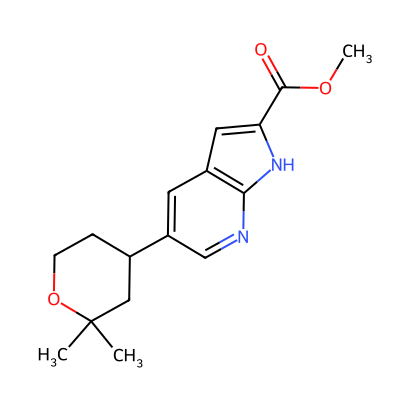 COC(=O)c1cc2cc(C3CCOC(C)(C)C3)cnc2[nH]1